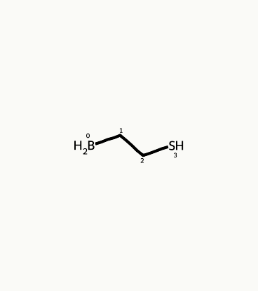 BCCS